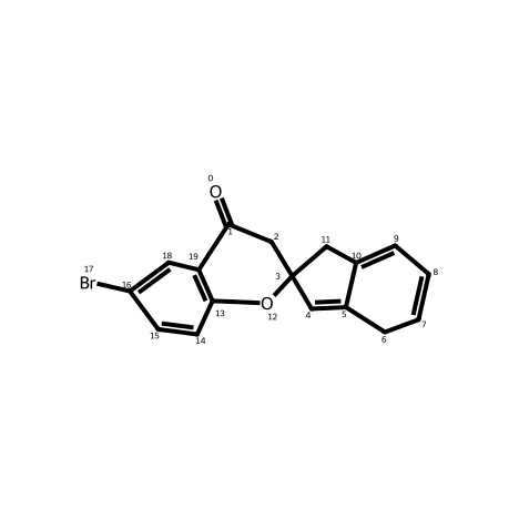 O=C1CC2(C=C3CC=CC=C3C2)Oc2ccc(Br)cc21